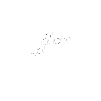 C=CC(=O)Nc1ccnc(-c2c(F)ccc3cnc(Nc4ccc(N5CCO[C@@H](CO)C5)cc4)nc23)c1